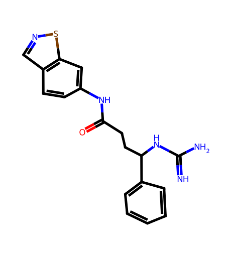 N=C(N)NC(CCC(=O)Nc1ccc2cnsc2c1)c1ccccc1